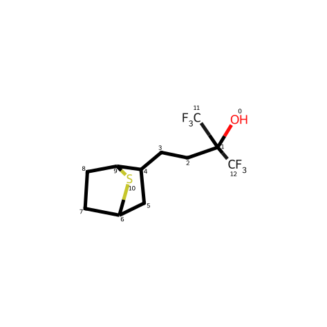 OC(CCC1CC2CCC1S2)(C(F)(F)F)C(F)(F)F